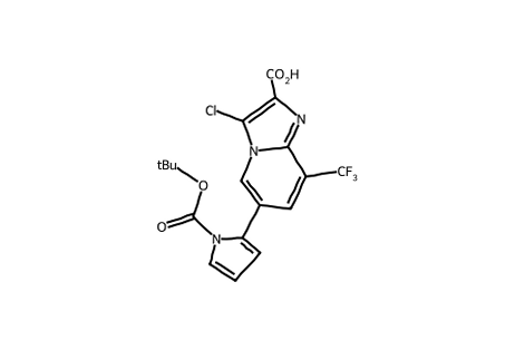 CC(C)(C)OC(=O)n1cccc1-c1cc(C(F)(F)F)c2nc(C(=O)O)c(Cl)n2c1